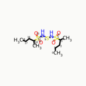 CCCC(C)S(=O)(=O)NSNS(=O)(=O)C(C)CCC